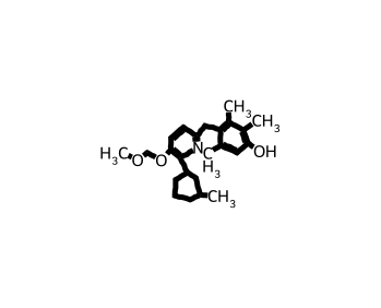 COCOc1ccc(Cc2c(C)cc(O)c(C)c2C)nc1C1CCCC(C)C1